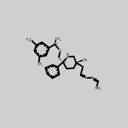 C[C@@H](OC[C@@]1(c2ccccc2)CC[C@@](C#N)(C/C=N\N=C/N)CN1)c1cc(C(F)(F)F)cc(C(F)(F)F)c1